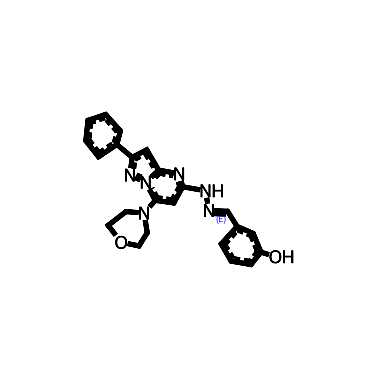 Oc1cccc(/C=N/Nc2cc(N3CCOCC3)n3nc(-c4ccccc4)cc3n2)c1